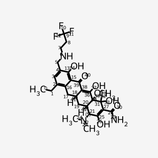 CCc1cc(CNCCC(F)(F)F)c(O)c2c1C[C@H]1C[C@H]3[C@H](N(C)C)C(O)=C(C(N)=O)C(C)(O)[C@@]3(O)C(O)=C1C2=O